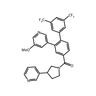 COc1cncc(-c2cc(C(=O)N3CCC(c4cccnc4)C3)ccc2-c2cc(C(F)(F)F)cc(C(F)(F)F)c2)c1